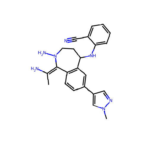 C/C(N)=C1\c2ccc(-c3cnn(C)c3)cc2C(Nc2ccccc2C#N)CCN1N